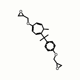 CC1C=CC(OCC2CO2)=CC=C1C(C)(C)c1ccc(OCC2CO2)cc1